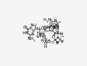 Nc1nc2c(ncn2[C@@H]2O[C@@H]3COP(O)(=S)O[C@H]4[C@H](c5cnc6c(N)ncnn56)O[C@H](COP(O)(=S)O[C@H]3[C@H]2O)[C@@]42CC2(F)F)c(=O)[nH]1